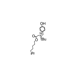 CC(C)CCCCCOC(=O)C[SH](Cc1ccc(O)cc1)C(C)(C)C